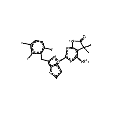 CC1(C)C(=O)Nc2nc(-n3nc(Cc4c(F)ccc(F)c4F)c4sccc43)nc(N)c21